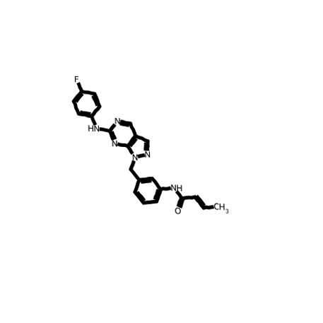 CC=CC(=O)Nc1cccc(Cn2ncc3cnc(Nc4ccc(F)cc4)nc32)c1